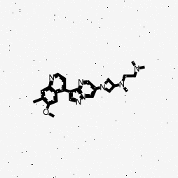 COc1cc2c(-c3cnn4cc(N5CC(N(C)CCN(C)C)C5)cnc34)ccnc2cc1C